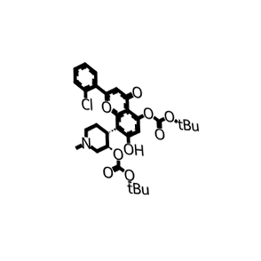 CN1CC[C@H](c2c(O)cc(OC(=O)OC(C)(C)C)c3c(=O)cc(-c4ccccc4Cl)oc23)[C@H](OC(=O)OC(C)(C)C)C1